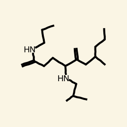 C=C(CCC(NCC(C)C)C(=C)CC(C)CCC)NCCC